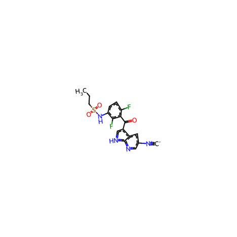 [C-]#[N+]c1cnc2[nH]cc(C(=O)c3c(F)ccc(NS(=O)(=O)CCC)c3F)c2c1